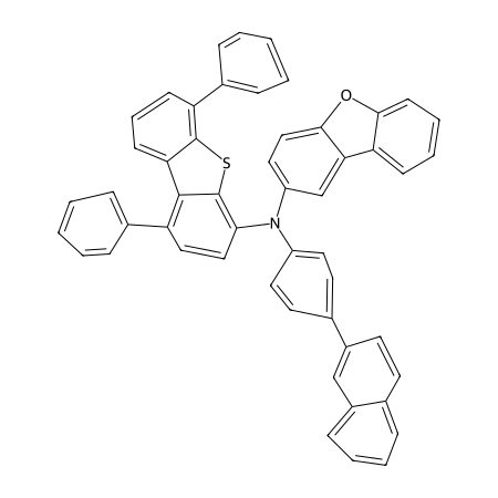 c1ccc(-c2cccc3c2sc2c(N(c4ccc(-c5ccc6ccccc6c5)cc4)c4ccc5oc6ccccc6c5c4)ccc(-c4ccccc4)c23)cc1